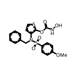 COc1ccc(S(=O)(=O)N(Cc2ccccc2)c2ccsc2OC(=O)NO)cc1